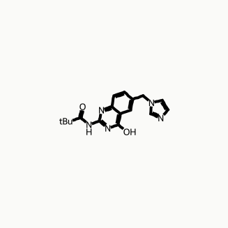 CC(C)(C)C(=O)Nc1nc(O)c2cc(Cn3ccnc3)ccc2n1